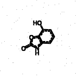 O=c1[nH]c2cccc(O)c2o1